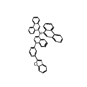 c1cc(-c2cc3ccccc3o2)cc(-c2ccc(N(c3cc4ccccc4c4ccccc34)c3cc4ccccc4c4ccccc34)c3ccccc23)c1